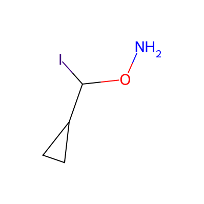 NOC(I)C1CC1